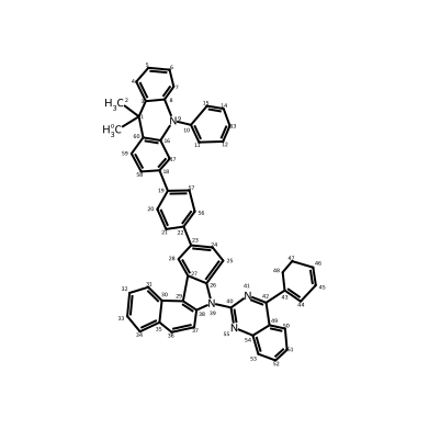 CC1(C)c2ccccc2N(c2ccccc2)c2cc(-c3ccc(-c4ccc5c(c4)c4c6ccccc6ccc4n5-c4nc(C5=CC=CCC5)c5ccccc5n4)cc3)ccc21